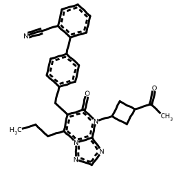 CCCc1c(Cc2ccc(-c3ccccc3C#N)cc2)c(=O)n(C2CC(C(C)=O)C2)c2ncnn12